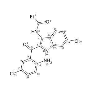 CCC(=O)Nc1c(C(=O)c2cc(Cl)ccc2N)[nH]c2cc(Cl)ccc12